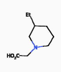 CCC1CCCN(CC(=O)O)C1